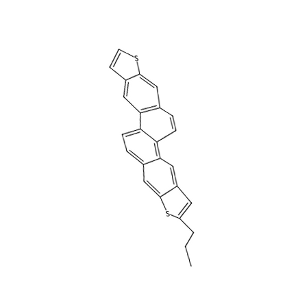 CCCc1cc2cc3c(ccc4c5cc6ccsc6cc5ccc34)cc2s1